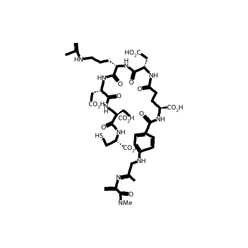 C=C(C)NCCC[C@H](NC(=O)[C@H](CC(=O)O)NC(=O)CC[C@H](NC(=O)c1ccc(NC/C(C)=N/C(=C)C(=O)NC)cc1)C(=O)O)C(=O)N[C@@H](CC(=O)O)C(=O)N[C@@H](CC(=O)O)C(=O)N[C@@H](CS)C(=O)O